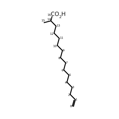 C=CCCCCCCCCCCCCC(C)C(=O)O